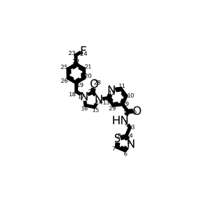 O=C(NCc1nccs1)c1ccnc(N2CCN(Cc3ccc(CF)cc3)C2=O)c1